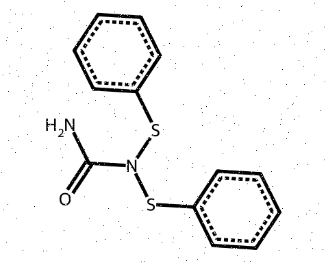 NC(=O)N(Sc1ccccc1)Sc1ccccc1